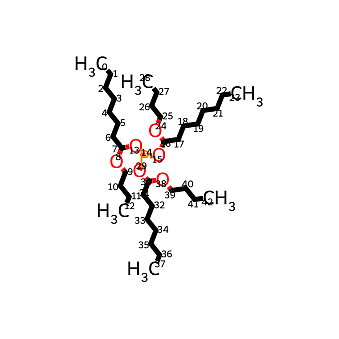 CCCCCCCC(OCCCC)OP(OC(CCCCCCC)OCCCC)OC(CCCCCCC)OCCCC